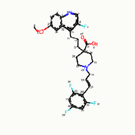 COc1ccc2ncc(F)c(CCCC3(C(=O)O)CCN(CC=Cc4c(F)cc(F)cc4F)CC3)c2c1